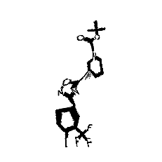 CC(C)(C)OC(=O)N1CCC[C@@H](c2nc(-c3ccc(I)c(C(F)(F)F)c3)no2)C1